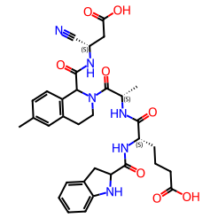 Cc1ccc2c(c1)CCN(C(=O)[C@H](C)NC(=O)[C@H](CCCC(=O)O)NC(=O)C1Cc3ccccc3N1)C2C(=O)N[C@H](C#N)CC(=O)O